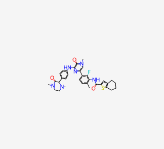 Cc1ccc(-c2cn(C)c(=O)c(Nc3ccc(C4C(=O)N(C)CCN4C)cc3)n2)c(F)c1NC(=O)c1cc2c(s1)CCCC2